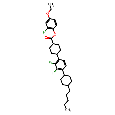 CCCCCC1CCC(c2ccc(C3CCC(C(=O)Oc4ccc(OCC)cc4F)CC3)c(F)c2F)CC1